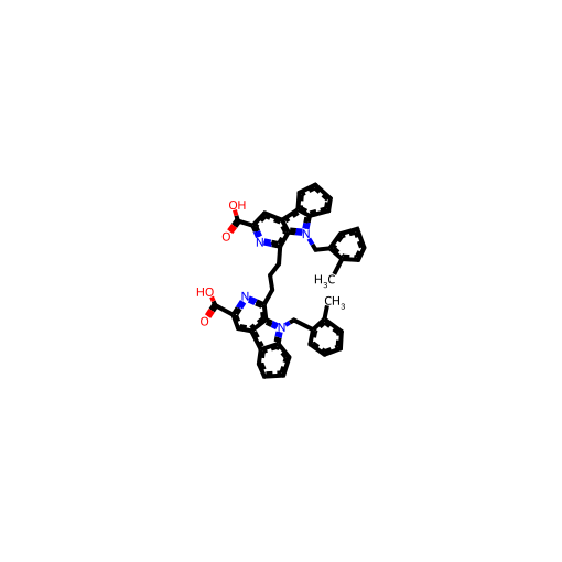 Cc1ccccc1Cn1c2ccccc2c2cc(C(=O)O)nc(CCCc3nc(C(=O)O)cc4c5ccccc5n(Cc5ccccc5C)c34)c21